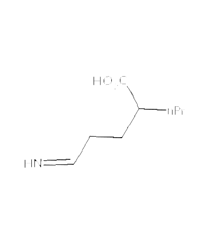 CCCC(CCC=N)C(=O)O